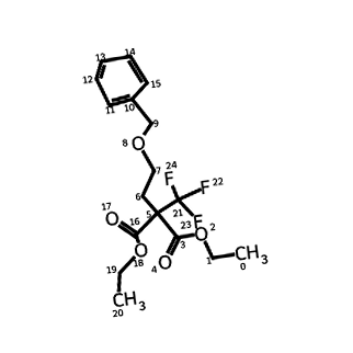 CCOC(=O)C(CCOCc1ccccc1)(C(=O)OCC)C(F)(F)F